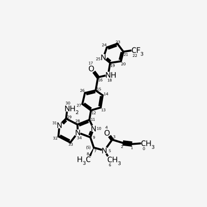 CC#CC(=O)N(C)[C@@H](C)c1nc(-c2ccc(C(=O)Nc3cc(C(F)(F)F)ccn3)cc2)c2c(N)nccn12